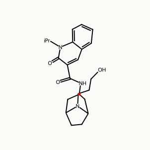 CC(C)n1c(=O)c(C(=O)NC2CC3CCC(C2)N3CCCO)cc2ccccc21